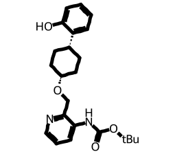 CC(C)(C)OC(=O)Nc1cccnc1CO[C@H]1CC[C@@H](c2ccccc2O)CC1